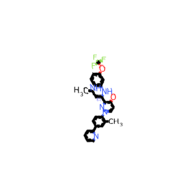 CC(=N)/C=C(\Nc1cccc(OC(F)(F)F)c1)c1nn(-c2ccc(-c3ccccn3)cc2C)ccc1=O